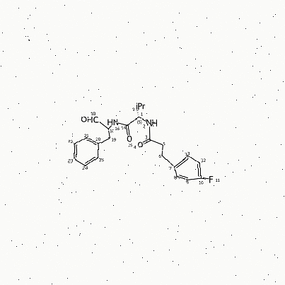 CC(C)[C@H](NC(=O)CCc1ccc(F)cc1)C(=O)NC(C=O)Cc1ccccc1